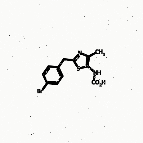 Cc1nc(Cc2ccc(Br)cc2)sc1NC(=O)O